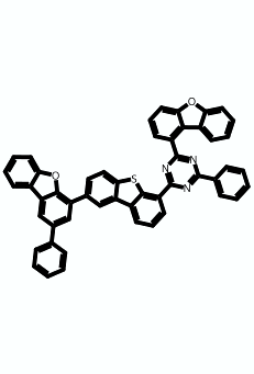 c1ccc(-c2cc(-c3ccc4sc5c(-c6nc(-c7ccccc7)nc(-c7cccc8oc9ccccc9c78)n6)cccc5c4c3)c3oc4ccccc4c3c2)cc1